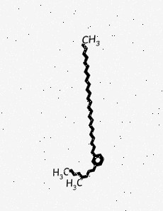 CCCCCCCCCCCCCCCCCCCCCCCCCCc1cccc(CC[CH]C(C)CCCC)c1